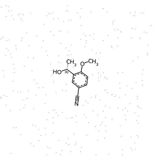 COc1ccc(C#N)cc1[C@@H](C)O